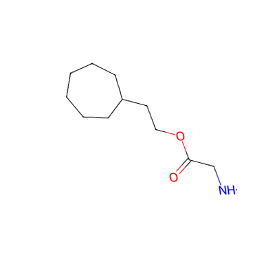 [NH]CC(=O)OCCC1CCCCCC1